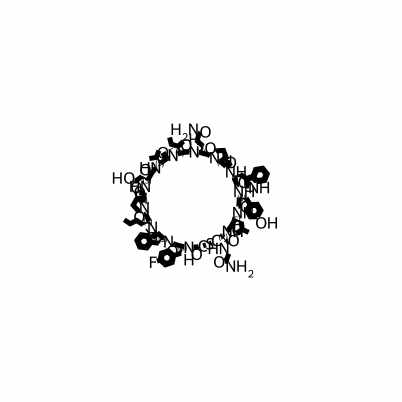 CCCC[C@H]1C(=O)N2CCC[C@@H]2C(=O)N[C@@H](CC(=O)O)C(=O)N[C@@H](C(C)C)C(=O)N(C)[C@@H](C(C)CC)C(=O)N[C@@H](CCC(N)=O)C(=O)N2CCC[C@@H]2C(=O)N[C@@H](Cc2c[nH]c3ccccc23)C(=O)N[C@@H](Cc2ccc(O)cc2)C(=O)N[C@@H](CC(C)C)C(=O)N[C@H](C(=O)NCC(N)=O)CSCC(=O)N[C@@H](Cc2ccc(F)cc2)C(=O)N(C)[C@@H](Cc2ccccc2)C(=O)N1C